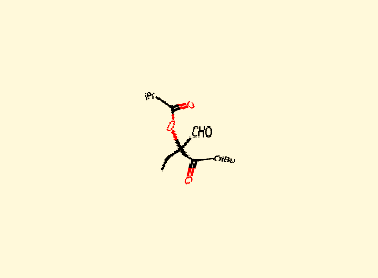 CC(C)COC(=O)C(C)(C=O)OC(=O)C(C)C